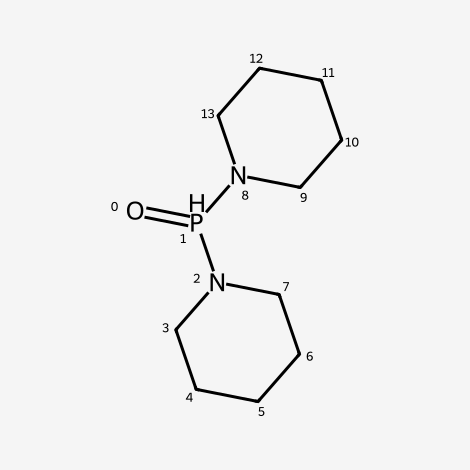 O=[PH](N1CCCCC1)N1CCCCC1